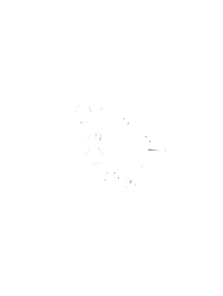 CN1CCNC(=O)CCCS(=O)(=O)NC(=O)c2ccc3c(C4CCCCC4)c4n(c3c2)CC1COc1ccccc1-4